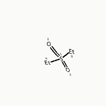 [CH2]CS(=O)(=O)CC